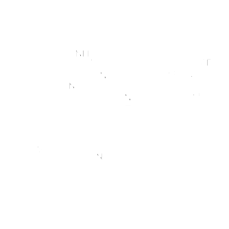 Cc1ccc(-c2cc3nc(N)nc(NCCOC(=O)C(F)(F)F)c3c3ccn(C)c23)s1